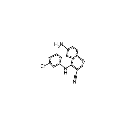 N#Cc1cnc2ccc(N)cc2c1Nc1cccc(Cl)c1